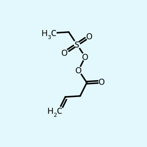 C=CCC(=O)OOS(=O)(=O)CC